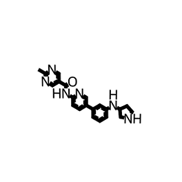 Cc1ncc(C(=O)Nc2ccc(-c3cccc(NC4CCNC4)c3)cn2)cn1